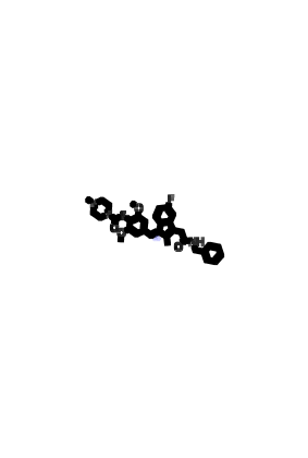 COc1cc(/C=C2/C(C)=C(CC(=O)NCc3ccccc3)c3cc(F)ccc32)cc(OC)c1SC(=O)N1CCN(C)CC1